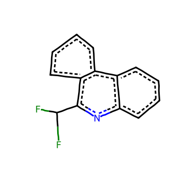 FC(F)c1nc2ccccc2c2ccccc12